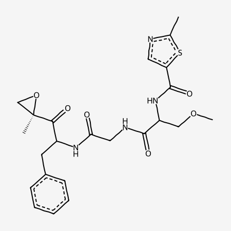 COCC(NC(=O)c1cnc(C)s1)C(=O)NCC(=O)NC(Cc1ccccc1)C(=O)[C@@]1(C)CO1